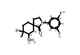 CC1(F)CCC2(CCN(c3cc(F)cc(F)c3)C2=O)CC1N